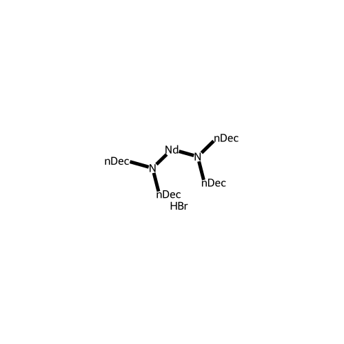 Br.CCCCCCCCCC[N](CCCCCCCCCC)[Nd][N](CCCCCCCCCC)CCCCCCCCCC